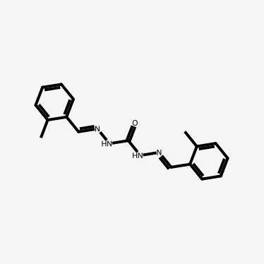 Cc1ccccc1C=NNC(=O)NN=Cc1ccccc1C